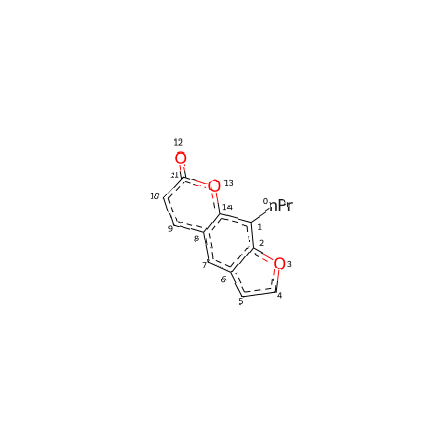 CCCc1c2occc2cc2ccc(=O)oc12